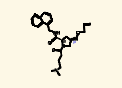 C=CCO/N=C1\C[C@@H](C(=O)NCc2cccc3ccccc23)N(C(=O)CCCN(C)C)C1